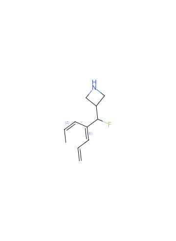 C=C/C=C(\C=C/C)C(F)C1CNC1